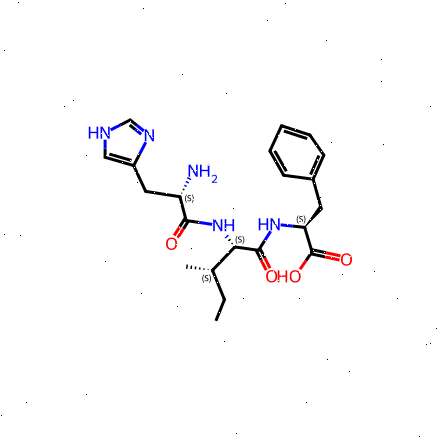 CC[C@H](C)[C@H](NC(=O)[C@@H](N)Cc1c[nH]cn1)C(=O)N[C@@H](Cc1ccccc1)C(=O)O